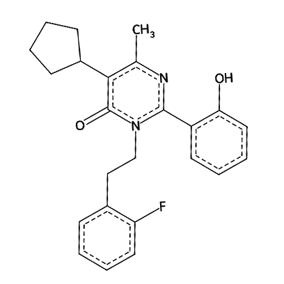 Cc1nc(-c2ccccc2O)n(CCc2ccccc2F)c(=O)c1C1CCCC1